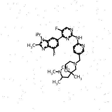 Cc1nc2c(F)cc(-c3nc(Nc4ccc(CN5CCOC(C)(CC(C)N(C)C)C5)cn4)ncc3F)cc2n1C(C)C